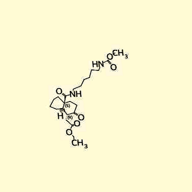 CCOC(=O)C[C@H]1C(=O)CC[C@@]2(C(=O)NCCCCCCNC(=O)OC)CCCC[C@H]12